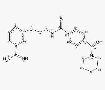 N=C(N)c1cccc(OCCNC(=O)c2ccc(C(=O)N3CCCCC3)cc2)c1